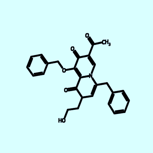 CC(=O)c1cn2c(c(OCc3ccccc3)c1=O)C(=O)C(CCO)C=C2Cc1ccccc1